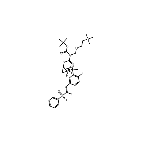 CC(C)(C)OC(=O)N(COCC[Si](C)(C)C)C1=N[C@](C)(c2cc(/C=C(\F)S(=O)(=O)c3ccccc3)ccc2F)[C@@H]2C[C@]2(C(=O)O)S1